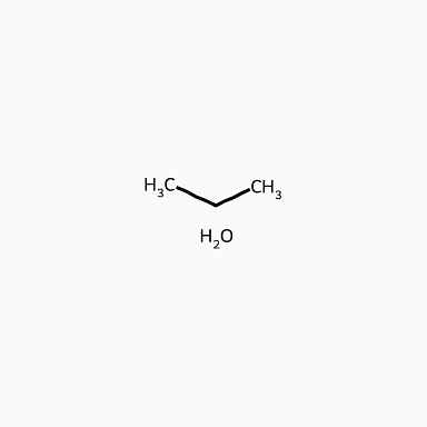 CCC.O